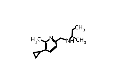 CC[C@@H](C)NCc1ccc(C2CC2)c(C)n1